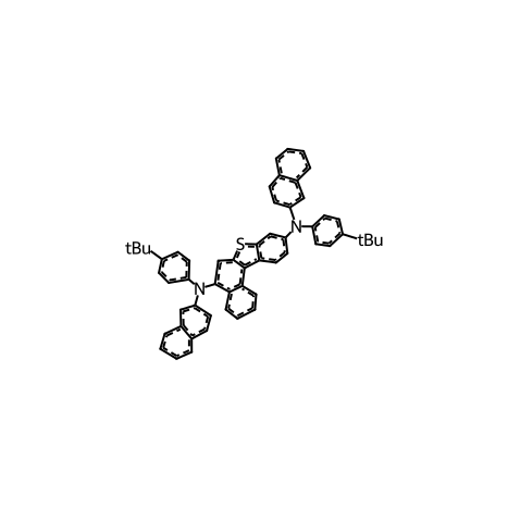 CC(C)(C)c1ccc(N(c2ccc3ccccc3c2)c2ccc3c(c2)sc2cc(N(c4ccc(C(C)(C)C)cc4)c4ccc5ccccc5c4)c4ccccc4c23)cc1